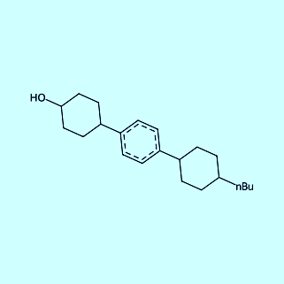 CCCCC1CCC(c2ccc(C3CCC(O)CC3)cc2)CC1